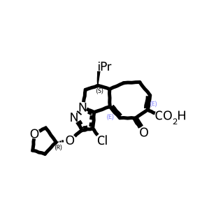 CC(C)[C@@H]1Cn2nc(O[C@@H]3CCOC3)c(Cl)c2/C2=C/C(=O)/C(C(=O)O)=C\CCC21